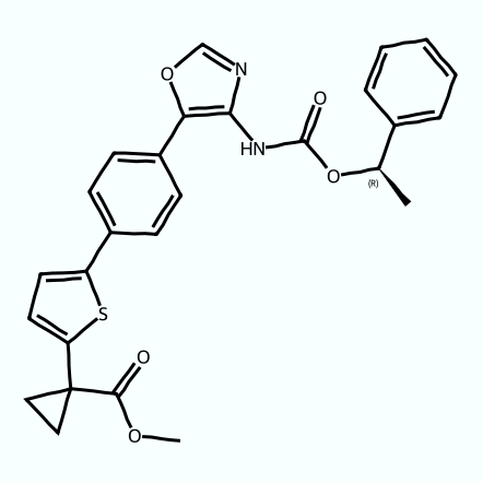 COC(=O)C1(c2ccc(-c3ccc(-c4ocnc4NC(=O)O[C@H](C)c4ccccc4)cc3)s2)CC1